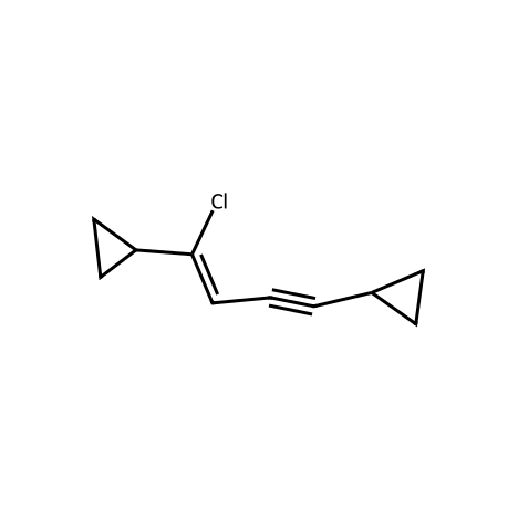 ClC(=CC#CC1CC1)C1CC1